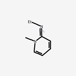 CC/N=c1/ccccn1C